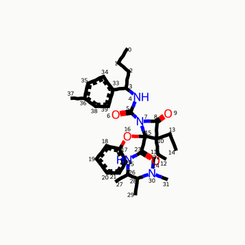 CCCC(NC(=O)N1C(=O)C(CC)(CC)C1(Oc1ccccc1)C(=O)NC(C)C(C)N(C)C)c1ccc(C)cc1